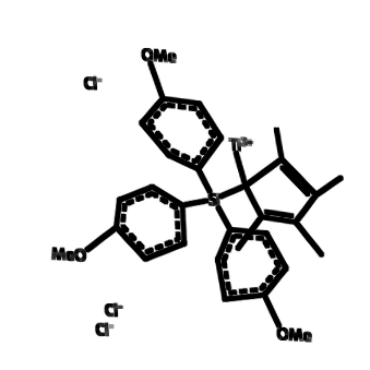 COc1ccc([Si](c2ccc(OC)cc2)(c2ccc(OC)cc2)[C]2([Ti+3])C(C)=C(C)C(C)=C2C)cc1.[Cl-].[Cl-].[Cl-]